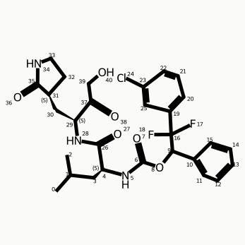 CC(C)C[C@H](NC(=O)OC(c1ccccc1)C(F)(F)c1cccc(Cl)c1)C(=O)N[C@@H](C[C@@H]1CCNC1=O)C(=O)CO